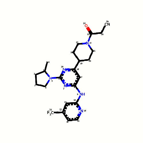 CC1CCCN1c1nc(Nc2cc(C(F)(F)F)ccn2)cc(C2CCN(C(=O)CC#N)CC2)n1